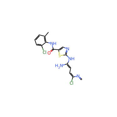 C=N/C(Cl)=C\C=C(/N)Nc1ncc(C(=O)Nc2c(C)cccc2Cl)s1